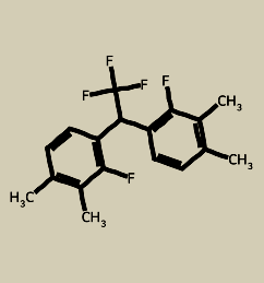 Cc1ccc(C(c2ccc(C)c(C)c2F)C(F)(F)F)c(F)c1C